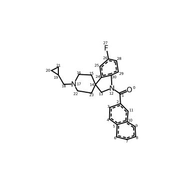 O=C(c1ccc2ccccc2c1)N1CC2(CCN(CC3CC3)CC2)c2cc(F)ccc21